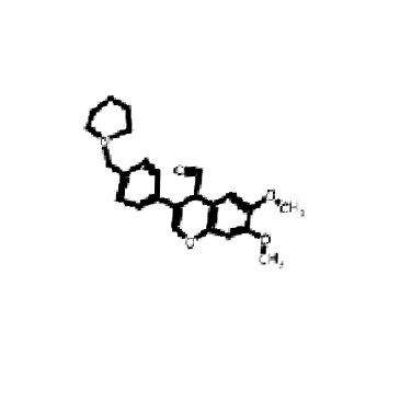 COc1cc2c(cc1OC)C(C=O)C(c1ccc(CN3CCCCC3)cc1)=CO2